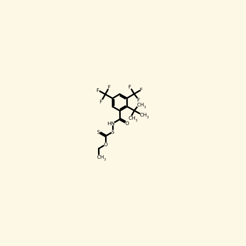 CCOC(=S)SNC(=O)c1cc(C(F)(F)F)cc(C(F)(F)F)c1C(C)(C)C